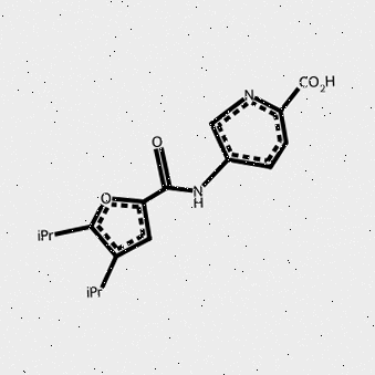 CC(C)c1cc(C(=O)Nc2ccc(C(=O)O)nc2)oc1C(C)C